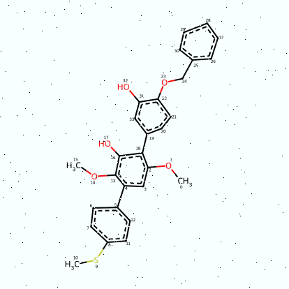 COc1cc(-c2ccc(SC)cc2)c(OC)c(O)c1-c1ccc(OCc2ccccc2)c(O)c1